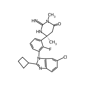 CN1C(=N)N[C@](C)(c2cccc(-n3c(C4CCC4)nc4ccc(Cl)cc43)c2F)CC1=O